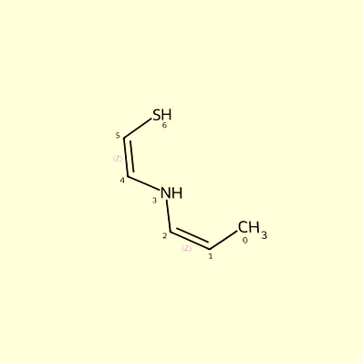 C/C=C\N/C=C\S